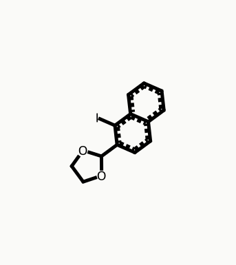 Ic1c(C2OCCO2)ccc2ccccc12